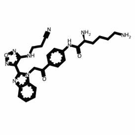 N#CCCNc1nonc1-c1nc2ccccc2n1CC(=O)c1ccc(NC(=O)[C@@H](N)CCCCN)cc1